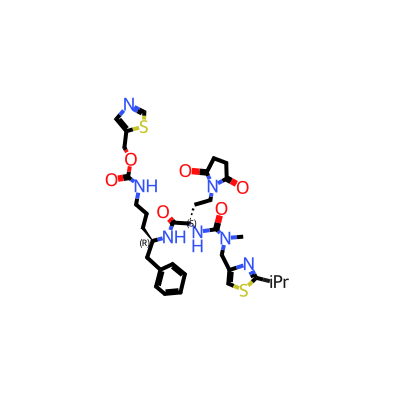 CC(C)c1nc(CN(C)C(=O)N[C@@H](CCN2C(=O)CCC2=O)C(=O)N[C@H](CCCNC(=O)OCc2cncs2)Cc2ccccc2)cs1